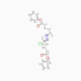 CC(CCCC(=O)Oc1ccccc1)N=NC(C)(Cl)CCCC(=O)Oc1ccccc1